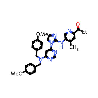 CCC(=O)c1cc(C)c(Nc2nccn2-c2cc(N(Cc3ccc(OC)cc3)Cc3ccc(OC)cc3)ncn2)cn1